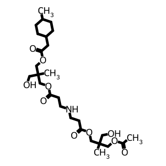 CC(=O)OCC(C)(CO)COC(=O)CCNCCC(=O)OCC(C)(CO)COC(=O)CC1CCC(C)CC1